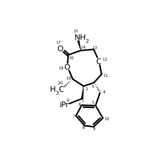 CC(C)C[C@@H]1[C@@H](Cc2ccccc2)CCC[C@H](N)C(=O)O[C@H]1C